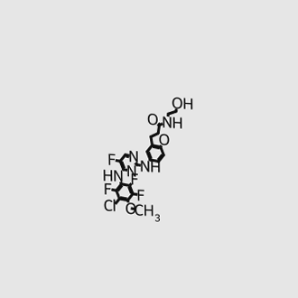 COc1c(F)c(F)c(Nc2nc(Nc3ccc4c(c3)CC(C(=O)NCCO)O4)ncc2F)c(F)c1Cl